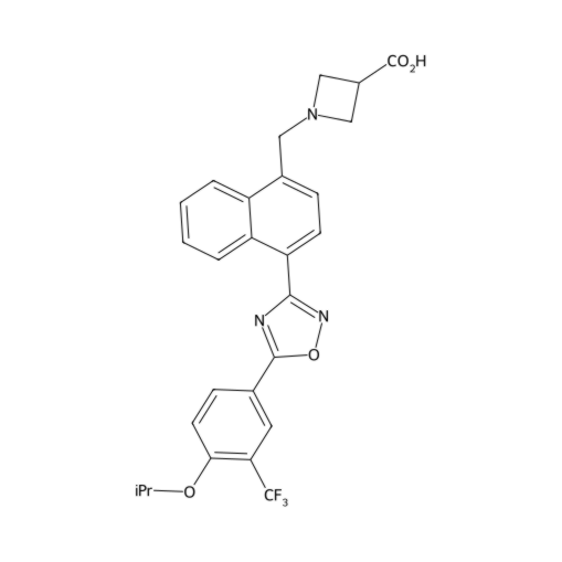 CC(C)Oc1ccc(-c2nc(-c3ccc(CN4CC(C(=O)O)C4)c4ccccc34)no2)cc1C(F)(F)F